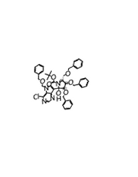 CC(C)(C)OC(=O)N1[C@H](COCc2ccccc2)[C@@H](OCc2ccccc2)[C@@H](OCc2ccccc2)C1(O)c1cn(COCc2ccccc2)c2c(Cl)ncnc12